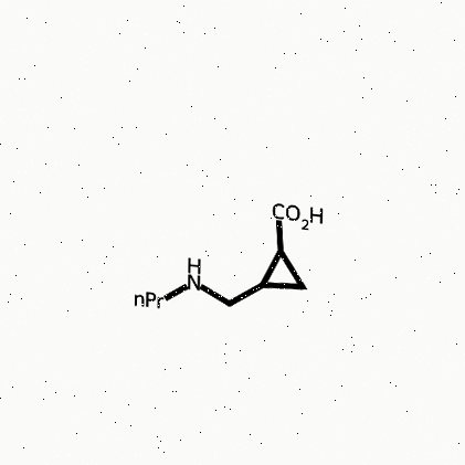 CCCNCC1CC1C(=O)O